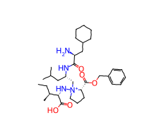 CC[C@H](C)[C@H](N[N+]1(C[C@H](CC(C)C)NC(=O)[C@@H](N)CC2CCCCC2)CCC[C@H]1C(=O)OCc1ccccc1)C(=O)O